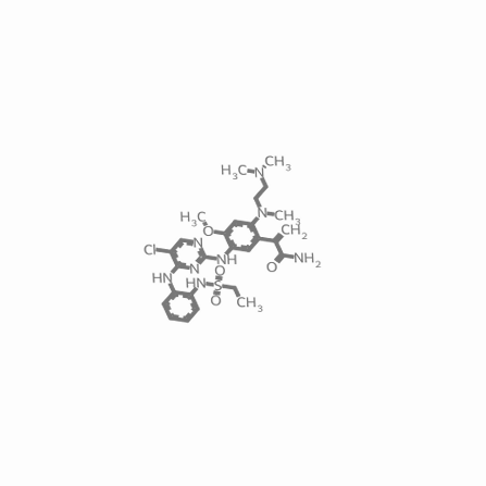 C=C(C(N)=O)c1cc(Nc2ncc(Cl)c(Nc3ccccc3NS(=O)(=O)CC)n2)c(OC)cc1N(C)CCN(C)C